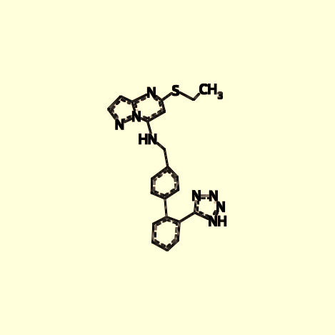 CCSc1cc(NCc2ccc(-c3ccccc3-c3nnn[nH]3)cc2)n2nccc2n1